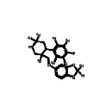 [2H]c1c([2H])c([C@@H]2CC([2H])([2H])NCC2([2H])COc2ccc3c(c2)OC([2H])([2H])O3)c([2H])c([2H])c1F